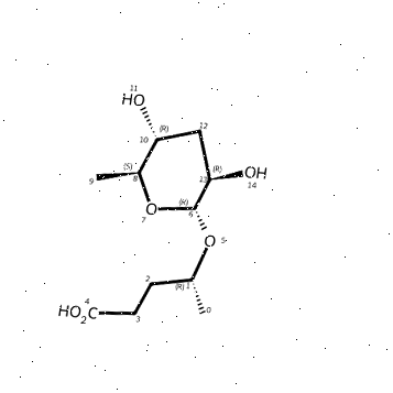 C[C@H](CCC(=O)O)O[C@@H]1O[C@@H](C)[C@H](O)C[C@H]1O